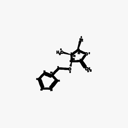 C=C1O[C@H](CC)[C@@H](C)[C@H]1OCc1ccccc1